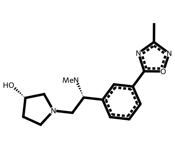 CN[C@@H](CN1CC[C@H](O)C1)c1cccc(-c2nc(C)no2)c1